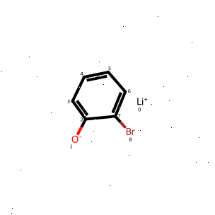 [Li+].[O-]c1ccccc1Br